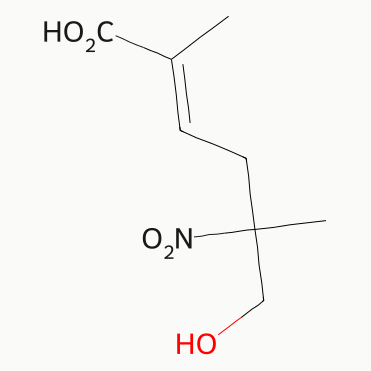 C/C(=C\CC(C)(CO)[N+](=O)[O-])C(=O)O